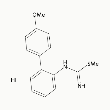 COc1ccc(-c2ccccc2NC(=N)SC)cc1.I